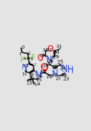 CCCC(F)(F)c1cc2c(cn1)C(C)(C)CN2C(=O)CN1C[C@@H](C)NC[C@@H]1CN1C[C@H](C)OCC1=O